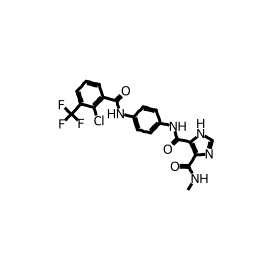 CNC(=O)c1nc[nH]c1C(=O)Nc1ccc(NC(=O)c2cccc(C(F)(F)F)c2Cl)cc1